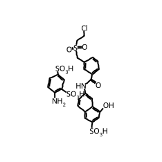 Nc1ccc(S(=O)(=O)O)cc1S(=O)(=O)O.O=C(Nc1ccc2cc(S(=O)(=O)O)cc(O)c2c1)c1cccc(CS(=O)(=O)CCCl)c1